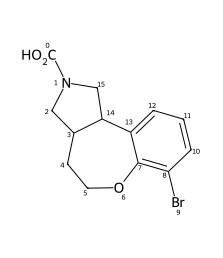 O=C(O)N1CC2CCOc3c(Br)cccc3C2C1